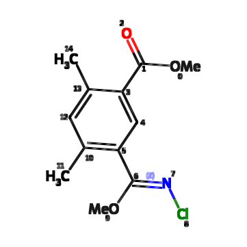 COC(=O)c1cc(/C(=N/Cl)OC)c(C)cc1C